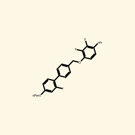 CCCCCc1ccc(-c2ccc(COc3ccc(CCC)c(F)c3F)cc2)c(F)c1